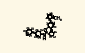 Cn1nccc1-c1ccc(N2CCC[C@H]2C(=O)Nc2ccc(-c3cccnc3)cn2)cn1